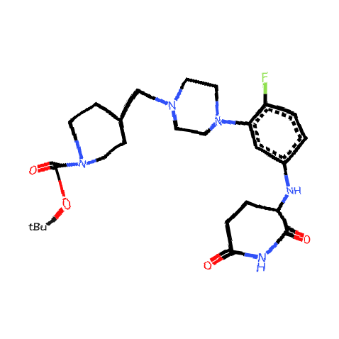 CC(C)(C)OC(=O)N1CCC(CN2CCN(c3cc(NC4CCC(=O)NC4=O)ccc3F)CC2)CC1